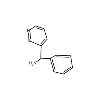 NC(c1ccccc1)c1cccnn1